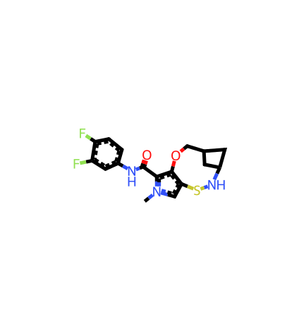 Cn1cc2c(c1C(=O)Nc1ccc(F)c(F)c1)OCC1CC(C1)NS2